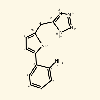 Nc1ccccc1-c1ccc(Cc2nnn[nH]2)s1